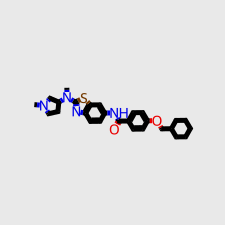 CN1CCC(N(C)c2nc3ccc(NC(=O)c4ccc(OCC5CCCCC5)cc4)cc3s2)C1